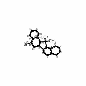 CC1(C)c2c(ccc3ccccc23)-c2cc(Br)c3ccccc3c21